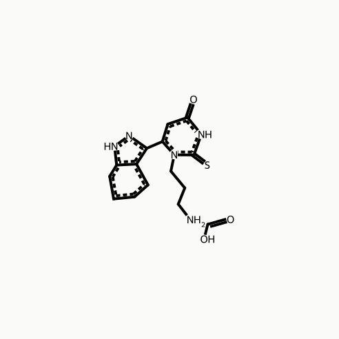 NCCCn1c(-c2n[nH]c3ccccc23)cc(=O)[nH]c1=S.O=CO